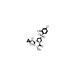 CC(C)(C)OC(=O)N1C[C@H](S(=O)(=O)c2ccc(Cl)cc2Cl)C[C@H]1C(=O)NC1(C#N)CC1